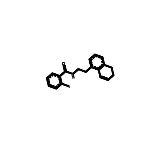 O=C(NCCc1cccc2c1C=CCC2)c1ccccc1I